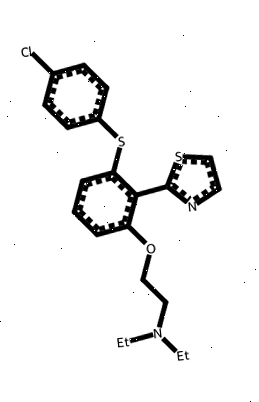 CCN(CC)CCOc1cccc(Sc2ccc(Cl)cc2)c1-c1nccs1